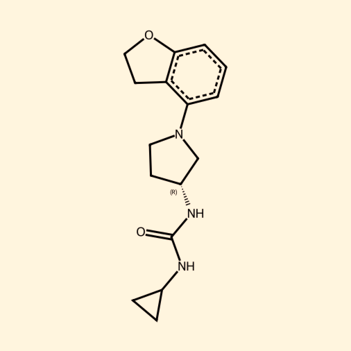 O=C(NC1CC1)N[C@@H]1CCN(c2cccc3c2CCO3)C1